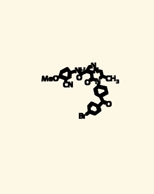 COc1ccc(NC(=O)c2cnn3c2C(=O)N(c2ccc(C(=O)c4ccc(Br)cc4)cc2)C(C)C3)cc1C#N